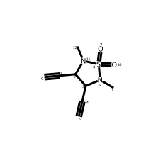 C#CC1C(C#C)N(C)S(=O)(=O)N1C